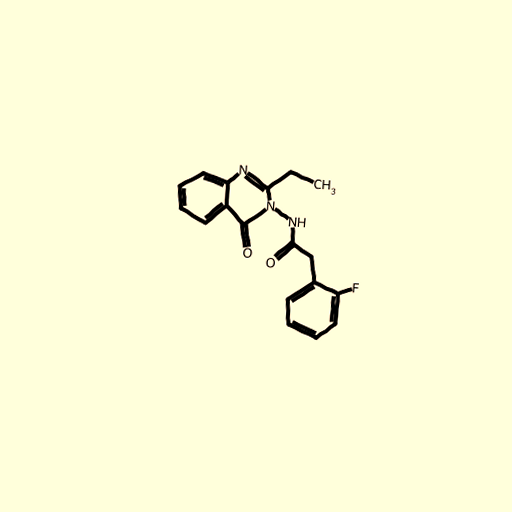 CCc1nc2ccccc2c(=O)n1NC(=O)Cc1ccccc1F